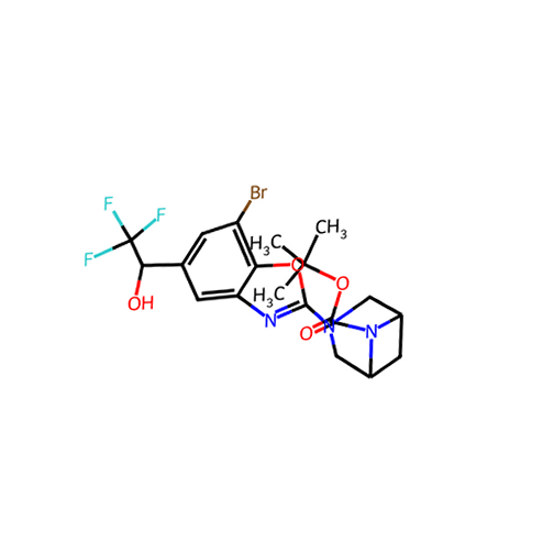 CC(C)(C)OC(=O)N1C2CC1CN(c1nc3cc(C(O)C(F)(F)F)cc(Br)c3o1)C2